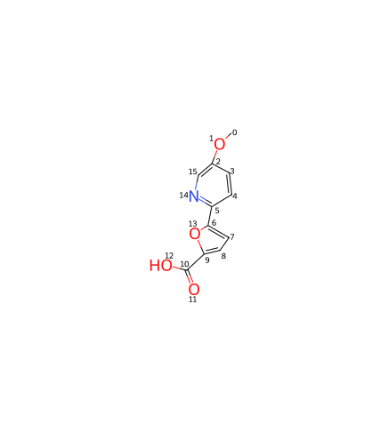 COc1ccc(-c2ccc(C(=O)O)o2)nc1